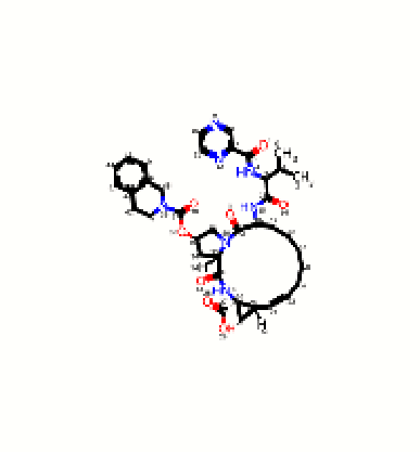 CC(C)C(NC(=O)c1cnccn1)C(=O)N[C@H]1CCCCCC=C[C@@H]2C[C@@]2(C(=O)O)NC(=O)[C@@H]2C[C@@H](OC(=O)N3CCc4ccccc4C3)CN2C1=O